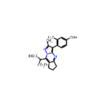 CCOC(=O)C(C(=O)OCC)c1c2c(nc3c(-c4ccc(OC)cc4C)c(C)nn13)CCC2